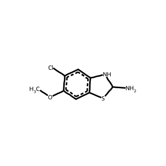 COc1cc2c(cc1Cl)NC(N)S2